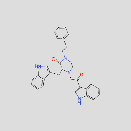 O=C(CN1CCN(CCc2ccccc2)C(=O)C1Cc1c[nH]c2ccccc12)c1c[nH]c2ccccc12